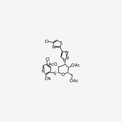 CC(=O)OC[C@H]1O[C@H](Sc2cc(Cl)cnc2C#N)[C@H](OC(C)=O)[C@@H](n2cc(-c3nc(Cl)cs3)nn2)[C@H]1OC(C)=O